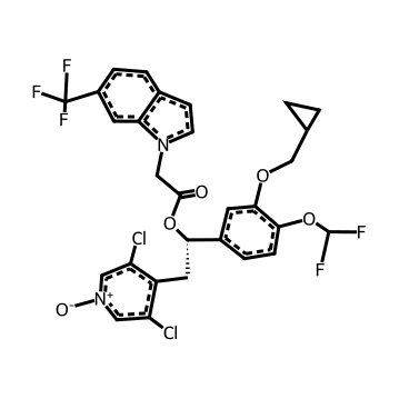 O=C(Cn1ccc2ccc(C(F)(F)F)cc21)O[C@@H](Cc1c(Cl)c[n+]([O-])cc1Cl)c1ccc(OC(F)F)c(OCC2CC2)c1